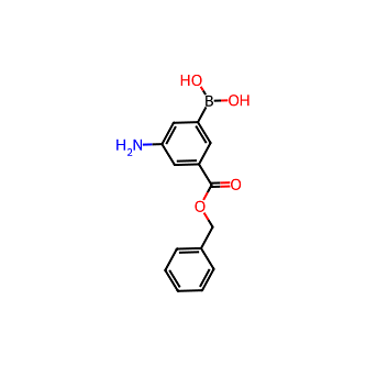 Nc1cc(B(O)O)cc(C(=O)OCc2ccccc2)c1